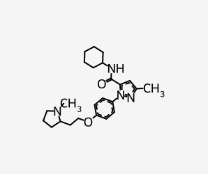 Cc1cc(C(=O)NC2CCCCC2)n(-c2ccc(OCCC3CCCN3C)cc2)n1